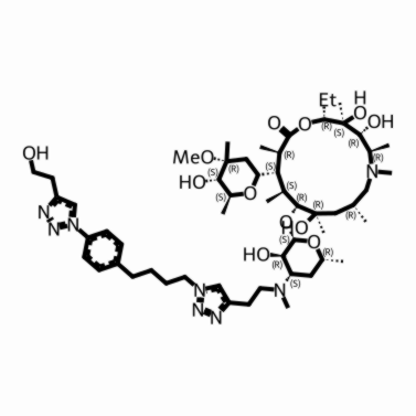 CC[C@H]1OC(=O)[C@H](C)[C@@H](C2C[C@@](C)(OC)[C@@H](O)[C@H](C)O2)[C@H](C)[C@@H](O[C@@H]2O[C@H](C)C[C@H](N(C)CCc3cn(CCCCc4ccc(-n5cc(CCO)nn5)cc4)nn3)[C@H]2O)[C@](C)(O)C[C@@H](C)CN(C)[C@H](C)[C@@H](O)[C@]1(C)O